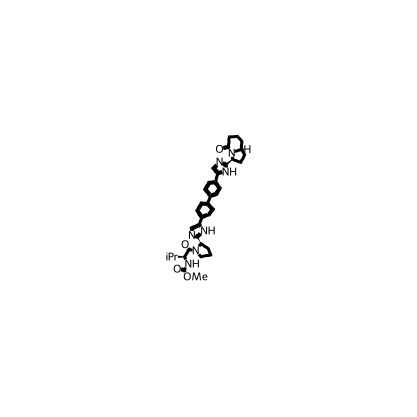 COC(=O)N[C@H](C(=O)N1CCC[C@H]1c1ncc(-c2ccc(-c3ccc(-c4cnc([C@@H]5CC[C@@H]6CCCC(=O)N65)[nH]4)cc3)cc2)[nH]1)C(C)C